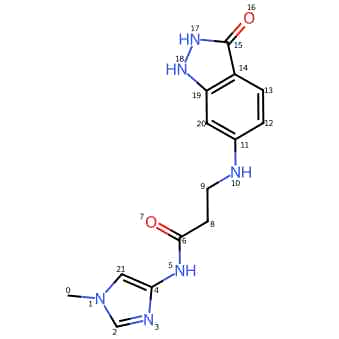 Cn1cnc(NC(=O)CCNc2ccc3c(=O)[nH][nH]c3c2)c1